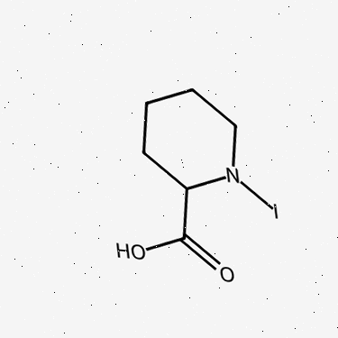 O=C(O)C1CCCCN1I